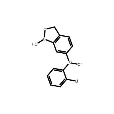 [O-][S+](c1ccc2c(c1)B(O)OC2)c1ccccc1Cl